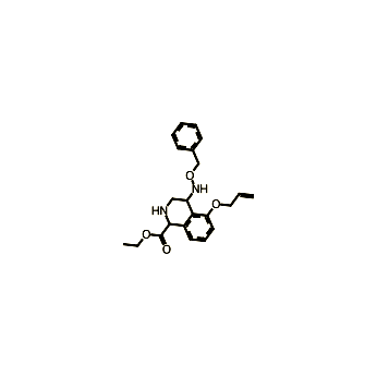 C=CCOc1cccc2c1C(NOCc1ccccc1)CNC2C(=O)OCC